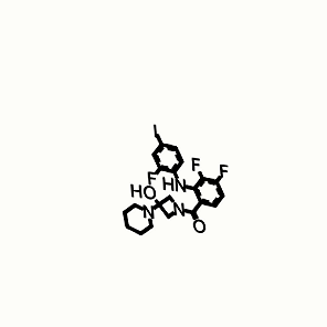 O=C(c1ccc(F)c(F)c1Nc1ccc(I)cc1F)N1CC(O)(N2CCCCC2)C1